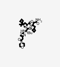 CC(C)(C)[C@H](Nc1nc(CC(=O)N2CCOCC2)cs1)C(=O)N1C[C@]2(C[C@H]1C(=O)NC(CC1CCC1)C(=O)C(N)=O)C(C)(C)C21CCC1